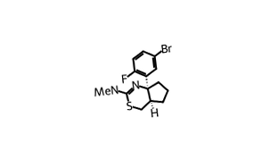 CNC1=N[C@@]2(c3cc(Br)ccc3F)CCC[C@H]2CS1